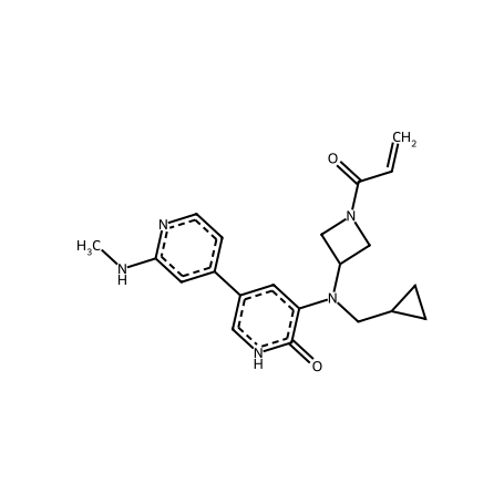 C=CC(=O)N1CC(N(CC2CC2)c2cc(-c3ccnc(NC)c3)c[nH]c2=O)C1